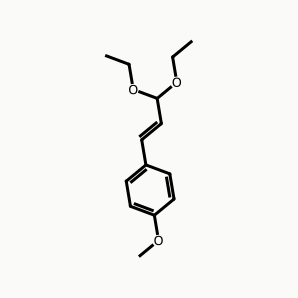 CCOC(C=Cc1ccc(OC)cc1)OCC